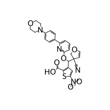 N#CC1(C(Oc2cccc(-c3ccc(N4CCOCC4)cc3)n2)c2cc([N+](=O)[O-])sc2C(=O)O)C=COC1